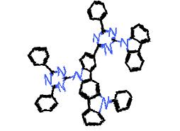 c1ccc(-c2nc(-c3ccc4c(c3)c3cc5c(cc3n4-c3nc(-c4ccccc4)nc(-c4ccccc4)n3)c3ccccc3n5-c3ccccc3)nc(-n3c4ccccc4c4ccccc43)n2)cc1